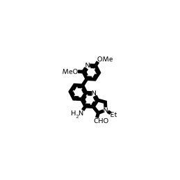 CCN1Cc2nc3c(-c4ccc(OC)nc4OC)cccc3c(N)c2C1C=O